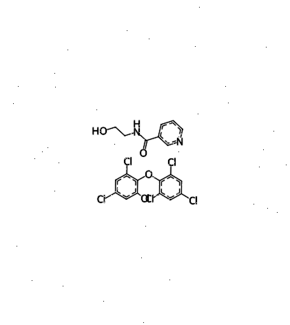 Clc1cc(Cl)c(Oc2c(Cl)cc(Cl)cc2Cl)c(Cl)c1.O=C(NCCO)c1cccnc1